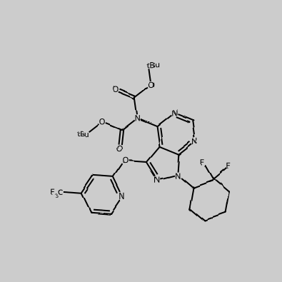 CC(C)(C)OC(=O)N(C(=O)OC(C)(C)C)c1ncnc2c1c(Oc1cc(C(F)(F)F)ccn1)nn2C1CCCCC1(F)F